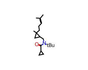 CC(C)=CCCC1(C)CC1CN(C(=O)C1CC1)C(C)(C)C